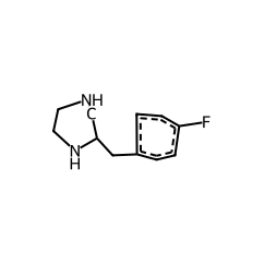 Fc1ccc(CC2CNCCN2)cc1